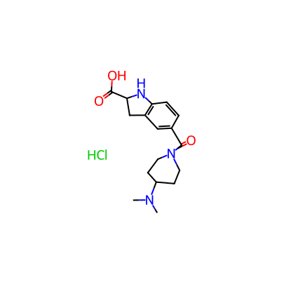 CN(C)C1CCN(C(=O)c2ccc3c(c2)CC(C(=O)O)N3)CC1.Cl